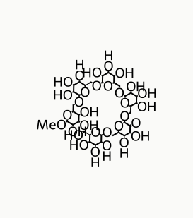 CO[C@H]1OC(CO[C@@H]2O[C@H](COC3OC(CO[C@@H]4O[C@H](COC5OC(CO[C@@H]6O[C@H](CO)C(O)[C@H](O)C6O)[C@@H](O)C(O)C5=O)C(O)[C@H](O)C4O)[C@@H](O)C(O)[C@H]3O)C(O)[C@H](O)C2O)[C@@H](O)C(O)[C@H]1O